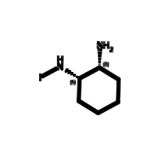 N[C@@H]1CCCC[C@@H]1NI